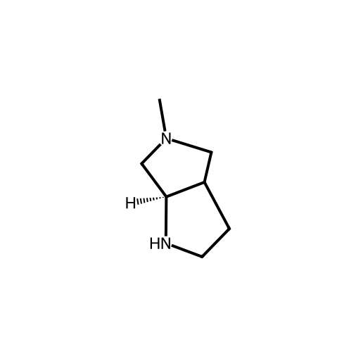 CN1CC2CCN[C@H]2C1